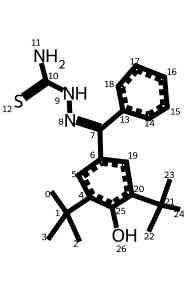 CC(C)(C)c1cc(C(=NNC(N)=S)c2ccccc2)cc(C(C)(C)C)c1O